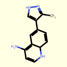 NC1=C2C=C(c3c[nH]nc3C(F)(F)F)C=CC2NC=C1